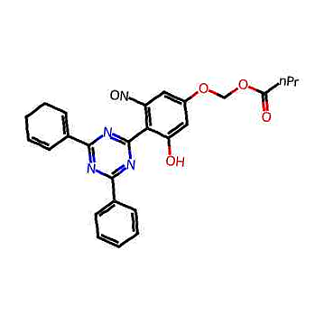 CCCC(=O)OCOc1cc(O)c(-c2nc(C3=CCCC=C3)nc(-c3ccccc3)n2)c(N=O)c1